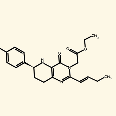 CC/C=C/c1nc2c(c(=O)n1CC(=O)OCC)N[C@H](c1ccc(F)cc1)CC2